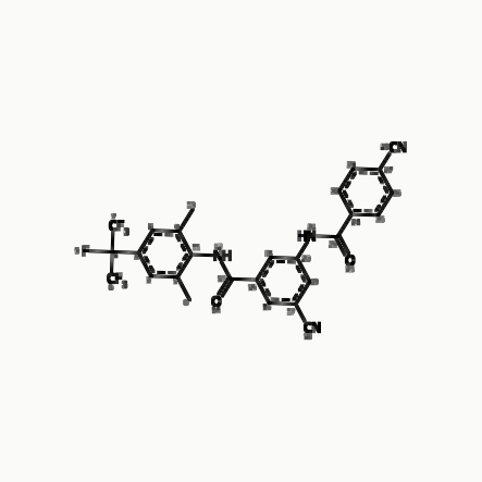 Cc1cc(C(F)(C(F)(F)F)C(F)(F)F)cc(C)c1NC(=O)c1cc(C#N)cc(NC(=O)c2ccc(C#N)cc2)c1